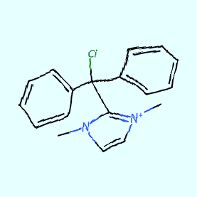 Cn1cc[n+](C)c1C(Cl)(c1ccccc1)c1ccccc1